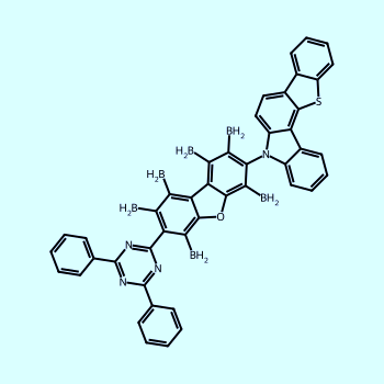 Bc1c(-c2nc(-c3ccccc3)nc(-c3ccccc3)n2)c(B)c2oc3c(B)c(-n4c5ccccc5c5c6sc7ccccc7c6ccc54)c(B)c(B)c3c2c1B